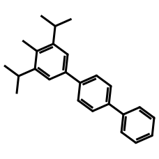 Cc1c(C(C)C)cc(-c2ccc(-c3ccccc3)cc2)cc1C(C)C